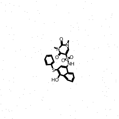 Cn1cc(S(=O)(=O)Nc2cc(Sc3ccccc3)c(O)c3ccccc23)c(=O)n(C)c1=O